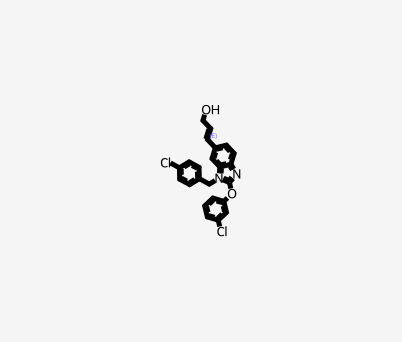 OC/C=C/c1ccc2nc(Oc3cccc(Cl)c3)n(Cc3ccc(Cl)cc3)c2c1